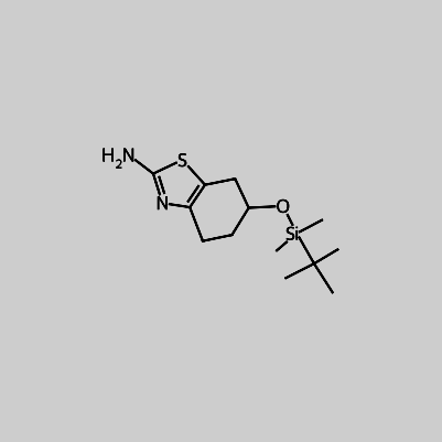 CC(C)(C)[Si](C)(C)OC1CCc2nc(N)sc2C1